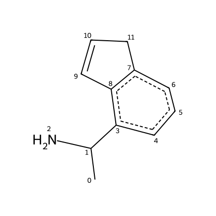 CC(N)c1cccc2c1C=CC2